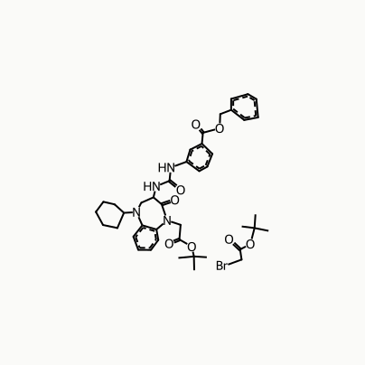 CC(C)(C)OC(=O)CBr.CC(C)(C)OC(=O)CN1C(=O)C(NC(=O)Nc2cccc(C(=O)OCc3ccccc3)c2)CN(C2CCCCC2)c2ccccc21